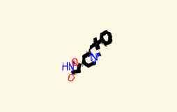 CN1CC[C@H](c2cc(=O)[nH]o2)C[C@H]1CC(C)(C)c1ccccc1